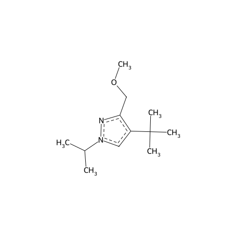 COCc1nn(C(C)C)cc1C(C)(C)C